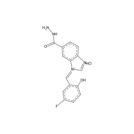 Cl.NNC(=O)c1ccc2c(c1)[N+](=Cc1cc(F)ccc1O)C=N2